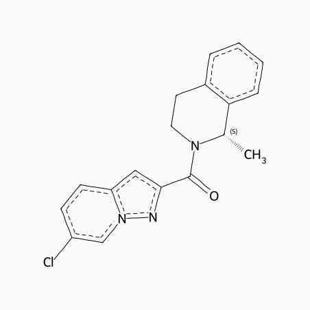 C[C@H]1c2ccccc2CCN1C(=O)c1cc2ccc(Cl)cn2n1